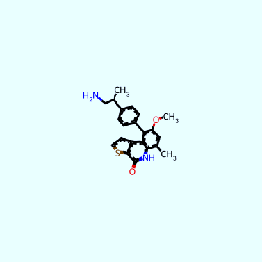 COc1cc(C)c2[nH]c(=O)c3sccc3c2c1-c1ccc([C@H](C)CN)cc1